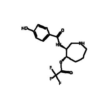 O=C(N[C@H]1CNCCC[C@H]1OC(=O)C(F)(F)F)c1ccc(O)cc1